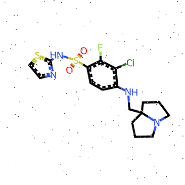 O=S(=O)(Nc1nccs1)c1ccc(NCC23CCCN2CCC3)c(Cl)c1F